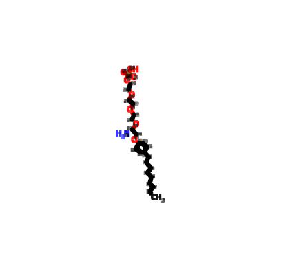 CCCCCCCCCc1ccc(OCCOCCOCCOCCOS(=O)(=O)O)cc1.N